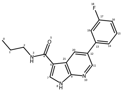 CCCNC(=O)c1c[nH]c2ncc(-c3cccc(F)c3)cc12